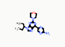 CCC(CC)n1cnc2c(-c3cnc(N)cn3)nc(N3CCOCC3)nc21